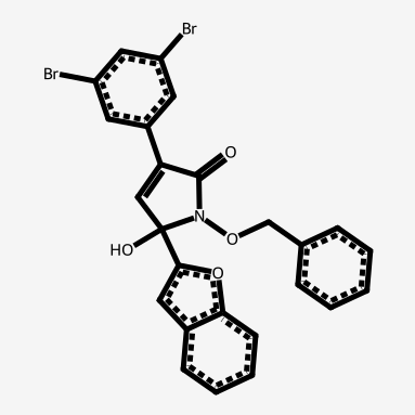 O=C1C(c2cc(Br)cc(Br)c2)=CC(O)(c2cc3ccccc3o2)N1OCc1ccccc1